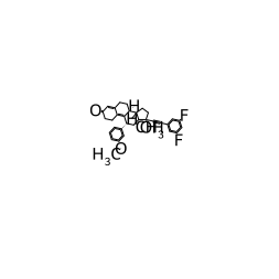 COc1cccc([C@H]2C[C@@]3(C)[C@@H](CC[C@@]3(O)C#Cc3cc(F)cc(F)c3)[C@@H]3CCC4=CC(=O)CCC4=C32)c1